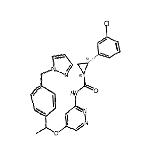 CC(Oc1cnnc(NC(=O)[C@H]2C[C@@H]2c2cccc(Cl)c2)c1)c1ccc(Cn2cccn2)cc1